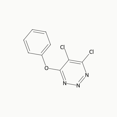 Clc1nnnc(Oc2ccccc2)c1Cl